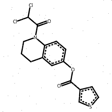 O=C(Oc1ccc2c(c1)CCCN2C(=O)C(Cl)Cl)c1ccsc1